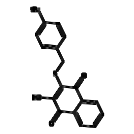 CC(C)(C)c1ccc(CSC2=C(O)C(=O)c3ccccc3C2=O)cc1